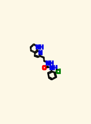 O=C(NCCc1ccc2c(n1)NCCC2)Nc1ccccc1Cl